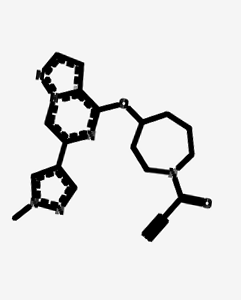 C#CC(=O)N1CCCC(Oc2nc(-c3cnn(C)c3)cn3nccc23)CC1